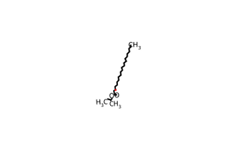 CCCCCCCCCCCCCCCCCCCCCC(=O)OCC(C)CC